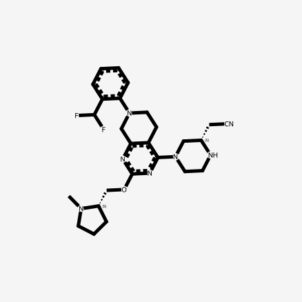 CN1CCC[C@H]1COc1nc2c(c(N3CCN[C@@H](CC#N)C3)n1)CCN(c1ccccc1C(F)F)C2